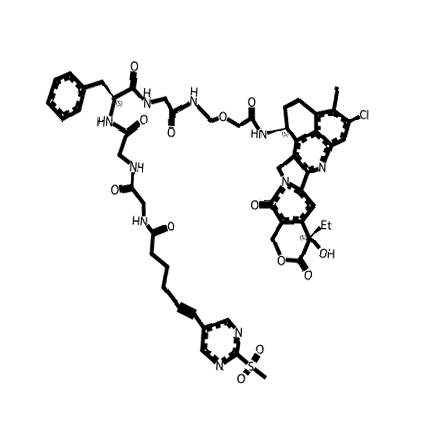 CC[C@@]1(O)C(=O)OCc2c1cc1n(c2=O)Cc2c-1nc1cc(Cl)c(C)c3c1c2[C@@H](NC(=O)COCNC(=O)CNC(=O)[C@H](Cc1ccccc1)NC(=O)CNC(=O)CNC(=O)CCCC#Cc1cnc(S(C)(=O)=O)nc1)CC3